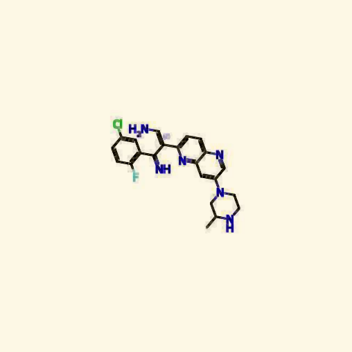 CC1CN(c2cnc3ccc(/C(=C/N)C(=N)c4cc(Cl)ccc4F)nc3c2)CCN1